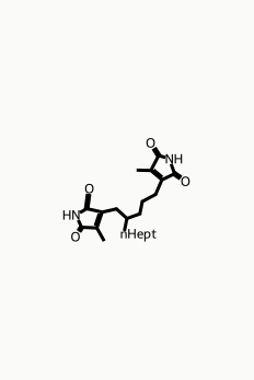 CCCCCCCC(CCCC1=C(C)C(=O)NC1=O)CC1=C(C)C(=O)NC1=O